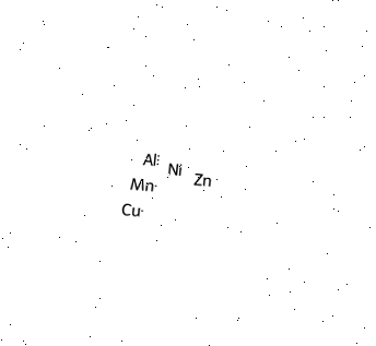 [Al].[Cu].[Mn].[Ni].[Zn]